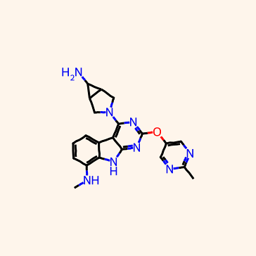 CNc1cccc2c1[nH]c1nc(Oc3cnc(C)nc3)nc(N3CC4C(N)C4C3)c12